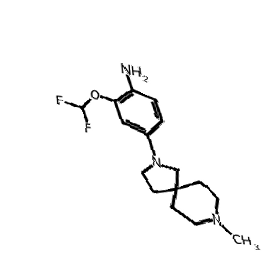 CN1CCC2(CC1)CCN(c1ccc(N)c(OC(F)F)c1)C2